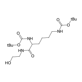 CC(C)(C)OC(=O)NCCCCC(NC(=O)OC(C)(C)C)C(=O)NCCO